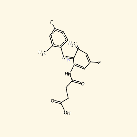 C=C1C=C(F)C=C(NC(=O)CCC(=O)O)/C1=N/c1ccc(F)cc1C